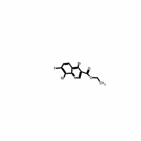 CCOC(=O)c1cnc2c(Br)c(F)ccc2c1Br